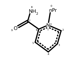 CCC[n+]1ccccc1C(N)=O